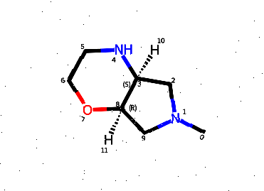 CN1C[C@@H]2NCCO[C@@H]2C1